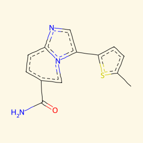 Cc1ccc(-c2cnc3ccc(C(N)=O)cn23)s1